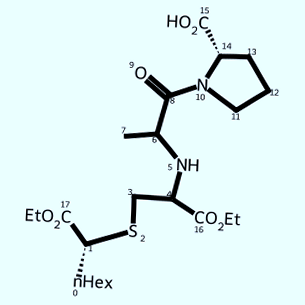 CCCCCC[C@@H](SCC(NC(C)C(=O)N1CCC[C@H]1C(=O)O)C(=O)OCC)C(=O)OCC